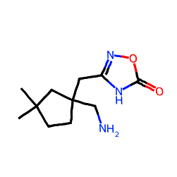 CC1(C)CCC(CN)(Cc2noc(=O)[nH]2)C1